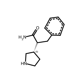 NC(=O)C(Cc1ccccc1)[C@@H]1CCNC1